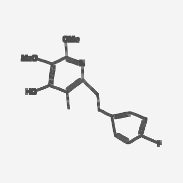 COc1nc(CCc2ccc(F)cc2)c(C)c(O)c1OC